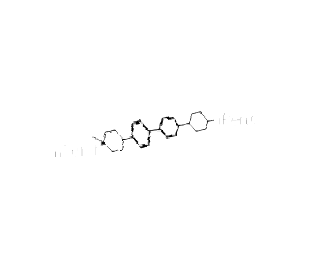 CCCCCC1CCC(c2ccc(-c3ccc(C4CCC(C)(CCCCC)CC4)cc3)cc2)CC1